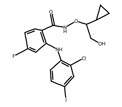 O=C(NOC(CO)C1CC1)c1ccc(F)cc1Nc1ccc(I)cc1Cl